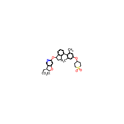 CCOC(=O)C[C@@H]1COc2cc(OC3CCc4c(-c5c(C)cc(OC6CCS(=O)(=O)CC6)cc5C)cccc43)ncc21